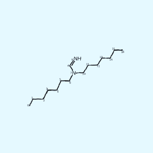 CCCCCCCN([C]=N)CCCCCCC